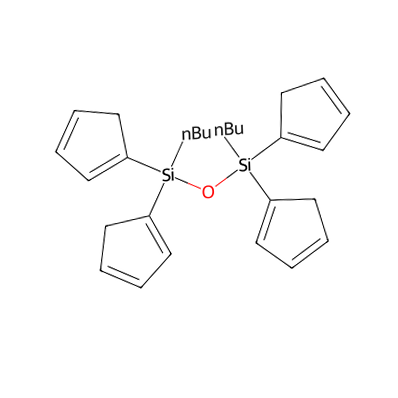 CCCC[Si](O[Si](CCCC)(C1=CC=CC1)C1=CC=CC1)(C1=CC=CC1)C1=CC=CC1